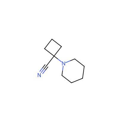 N#CC1(N2CCCCC2)CCC1